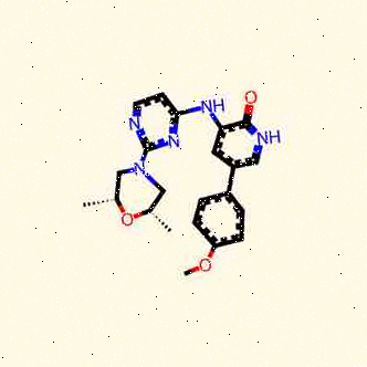 COc1ccc(-c2c[nH]c(=O)c(Nc3ccnc(N4C[C@@H](C)O[C@@H](C)C4)n3)c2)cc1